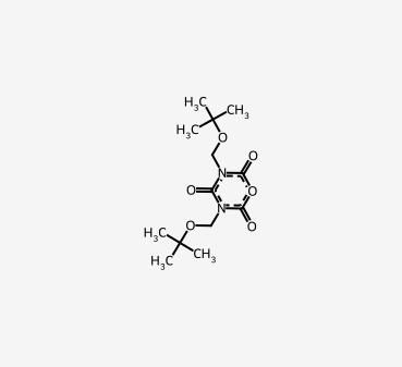 CC(C)(C)OCn1c(=O)oc(=O)n(COC(C)(C)C)c1=O